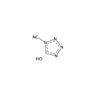 Cl.N#Cn1cnnn1